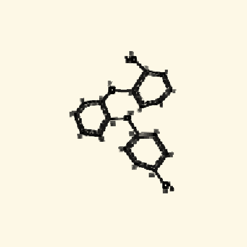 Oc1ccccc1Oc1ccccc1Oc1ccc(C(F)(F)F)cc1